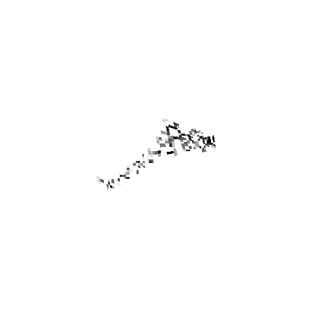 CCCCOCCOCCOCCCNc1cccc2c1C(=O)N(C1CCC(=O)NC1=O)C2=O